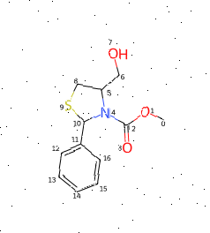 COC(=O)N1C(CO)CSC1c1ccccc1